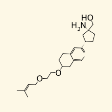 C=C(/C=C1/CCC(OCCOCC=C(C)C)C/C1=C/C)[C@H]1CC[C@](N)(CO)C1